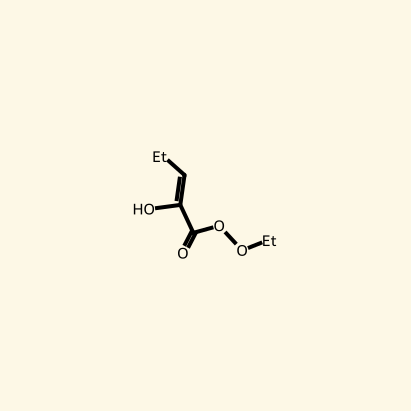 CCC=C(O)C(=O)OOCC